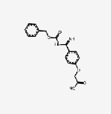 N=C(NC(=O)OCc1ccccc1)c1ccc(OCC(=O)O)cc1